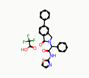 O=C(Nc1nccs1)C(c1ccccc1)N1Cc2cc(-c3ccccc3)ccc2C1=O.O=C(O)C(F)(F)F